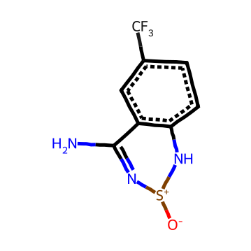 NC1=N[S+]([O-])Nc2ccc(C(F)(F)F)cc21